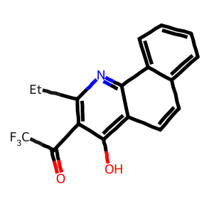 CCc1nc2c(ccc3ccccc32)c(O)c1C(=O)C(F)(F)F